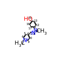 CN(/N=C/c1cc[n+](C)cc1)c1ccc(O)cc1